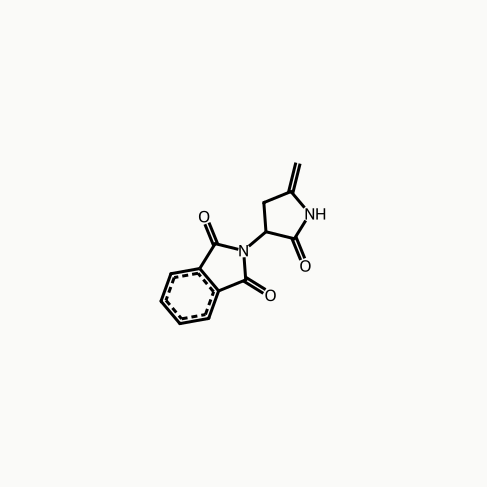 C=C1CC(N2C(=O)c3ccccc3C2=O)C(=O)N1